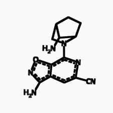 N#Cc1cc2c(N)noc2c(N2CC3CCC2C3N)n1